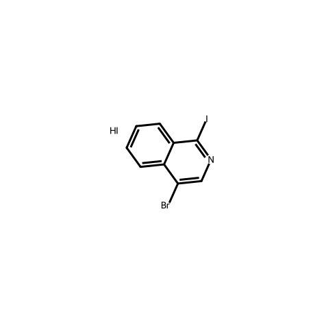 Brc1cnc(I)c2ccccc12.I